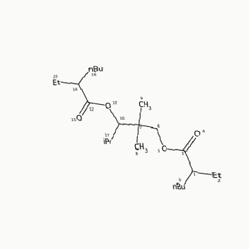 CCCCC(CC)C(=O)OCC(C)(C)C(OC(=O)C(CC)CCCC)C(C)C